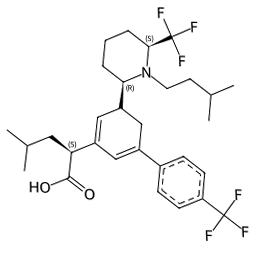 CC(C)CCN1[C@@H](C2C=C([C@H](CC(C)C)C(=O)O)C=C(c3ccc(C(F)(F)F)cc3)C2)CCC[C@H]1C(F)(F)F